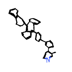 Cc1cnccc1-c1cccc(-c2ccc(-c3c4ccccc4c(C4=Cc5ccccc5CC4)c4ccccc34)cc2)c1